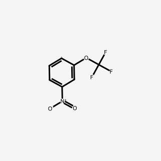 O=[N+]([O-])c1cc[c]c(OC(F)(F)F)c1